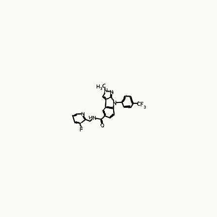 Cn1cc2c3cc(C(=O)NCc4ncccc4F)ccc3n(-c3ccc(C(F)(F)F)cc3)c2n1